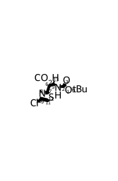 CC(C)(C)OC(=O)N[C@@H](Cc1nc(Cl)cs1)C(=O)O